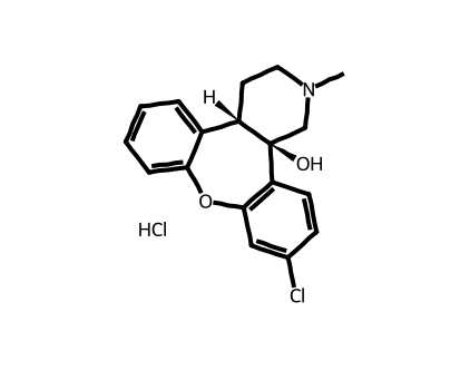 CN1CC[C@H]2c3ccccc3Oc3cc(Cl)ccc3[C@@]2(O)C1.Cl